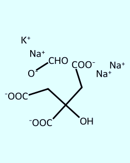 O=C([O-])CC(O)(CC(=O)[O-])C(=O)[O-].O=C[O-].[K+].[Na+].[Na+].[Na+]